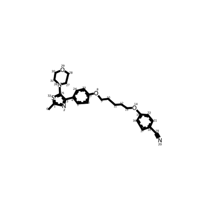 Cc1nc(-c2ccc(OCCCCCOc3ccc(C#N)cc3)cc2)c(N2CCOCC2)s1